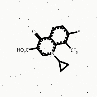 O=C(O)c1cn(C2CC2)c2c(C(F)(F)F)c(F)ccc2c1=O